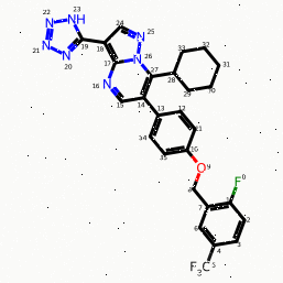 Fc1ccc(C(F)(F)F)cc1COc1ccc(-c2cnc3c(-c4nnn[nH]4)cnn3c2C2CCCCC2)cc1